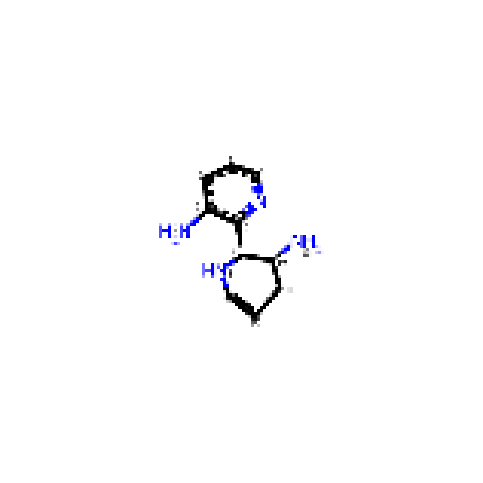 Nc1cccnc1[C@@H]1NC=CC[C@@H]1N